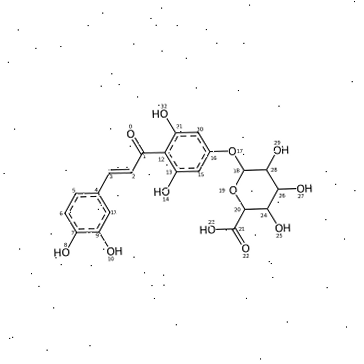 O=C(C=Cc1ccc(O)c(O)c1)c1c(O)cc(OC2OC(C(=O)O)C(O)C(O)C2O)cc1O